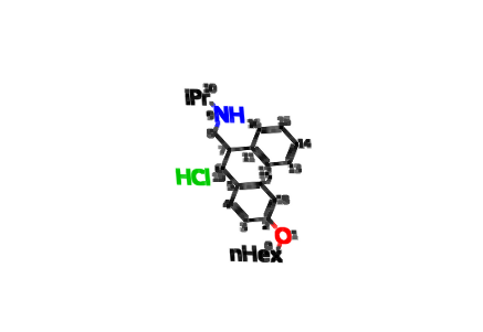 CCCCCCOc1ccc(CC(CNC(C)C)c2ccccc2)cc1.Cl